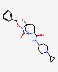 O=C(NC1CCN(C2CC2)CC1)[C@@H]1CC[C@@H]2CN1C(=O)N2OCc1ccccc1